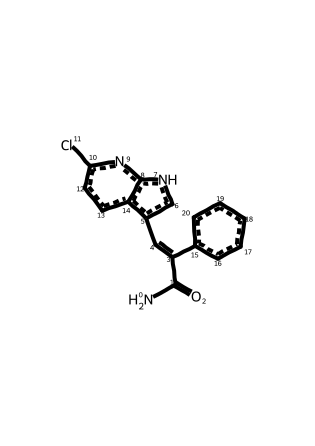 NC(=O)/C(=C/c1c[nH]c2nc(Cl)ccc12)c1ccccc1